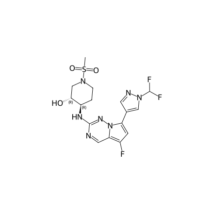 CS(=O)(=O)N1CC[C@@H](Nc2ncc3c(F)cc(-c4cnn(C(F)F)c4)n3n2)[C@H](O)C1